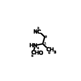 CC(CC#N)NC=O